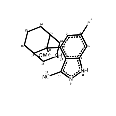 COC1(c2cc(F)cc3[nH]nc(C#N)c23)C2CCCC1CNC2